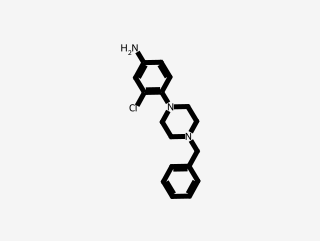 Nc1ccc(N2CCN(Cc3ccccc3)CC2)c(Cl)c1